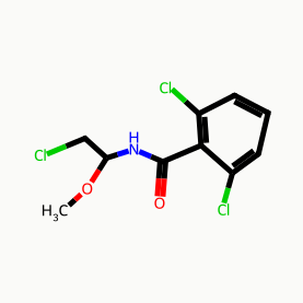 COC(CCl)NC(=O)c1c(Cl)cccc1Cl